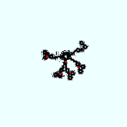 C[Si]1(C)O[Si](C)(C)O[Si](CCCCCCc2ccc(C(=O)Oc3ccccc3-c3ccccc3)cc2)(CCCCCCc2ccc(C(=O)Oc3ccccc3-c3ccccc3)cc2)O[Si](CCCCCCc2ccc(C(=O)Oc3ccccc3-c3ccccc3)cc2)(CCCCCCc2ccc(C(=O)Oc3ccccc3-c3ccccc3)cc2)O[Si](C)(CCCCCCc2ccc(C(=O)Oc3ccccc3-c3ccccc3)cc2)O1